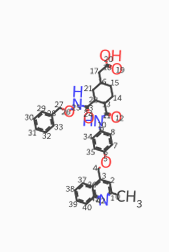 Cc1cc(COc2ccc(NC(=O)C3CCC(CC(=O)O)CC3C(=O)NOCc3ccccc3)cc2)c2ccccc2n1